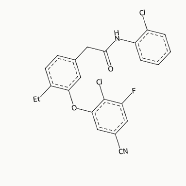 CCc1ccc(CC(=O)Nc2ccccc2Cl)cc1Oc1cc(C#N)cc(F)c1Cl